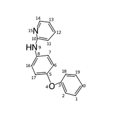 c1ccc(Oc2ccc(Nc3ccccn3)cc2)cc1